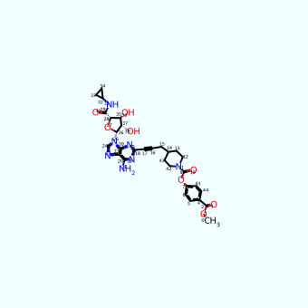 COC(=O)c1ccc(OC(=O)N2CCC(CC#Cc3nc(N)c4ncn([C@@H]5O[C@H](C(=O)NC6CC6)C(O)[C@@H]5O)c4n3)CC2)cc1